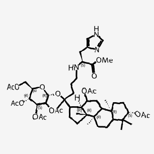 COC(=O)[C@H](Cc1c[nH]cn1)NCCCC(C)(O[C@H]1O[C@H](COC(C)=O)[C@@H](OC(C)=O)[C@H](OC(C)=O)C1OC(C)=O)C1CC[C@]2(C)[C@@H]1C(OC(C)=O)CC1[C@@]3(C)CC[C@H](OC(C)=O)C(C)(C)C3CC[C@]12C